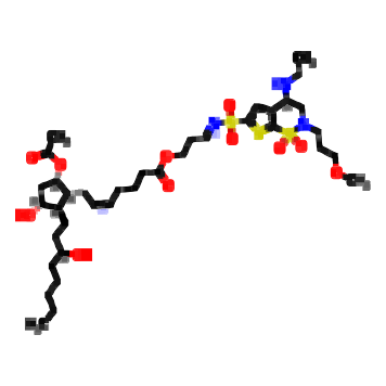 CCCCC[C@H](O)CC[C@@H]1[C@@H](C/C=C\CCCC(=O)OCC/C=N/S(=O)(=O)c2cc3c(s2)S(=O)(=O)N(CCCOC)C[C@@H]3NCC)[C@@H](OC(C)=O)C[C@H]1O